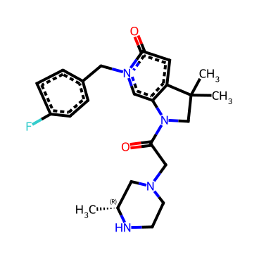 C[C@@H]1CN(CC(=O)N2CC(C)(C)c3cc(=O)n(Cc4ccc(F)cc4)cc32)CCN1